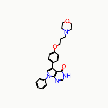 O=c1[nH]cnc2c1c(-c1ccc(OCCCN3CCOCC3)cc1)cn2-c1ccccc1